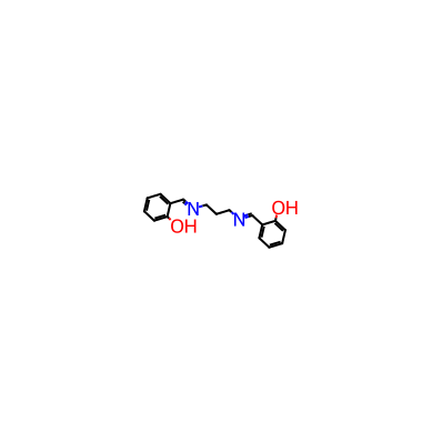 Oc1ccccc1C=NCCC/N=C/c1ccccc1O